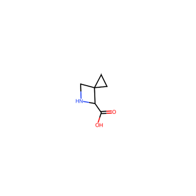 O=C(O)C1NCC12[CH]C2